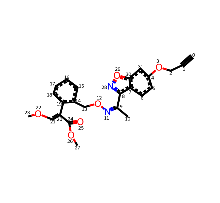 C#CCOc1ccc2c(/C(C)=N\OCc3ccccc3/C(=C\OC)C(=O)OC)noc2c1